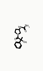 CC(O)(C(=O)N1CCC(NC(N)=O)C1)c1ccccc1